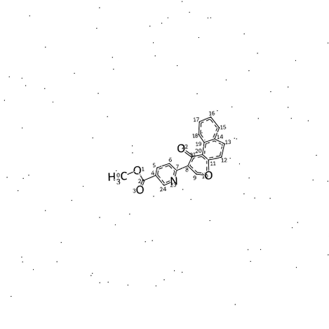 COC(=O)c1ccc(-c2coc3ccc4ccccc4c3c2=O)nc1